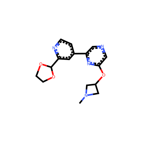 CN1CC(Oc2cncc(-c3ccnc(C4OCCO4)c3)n2)C1